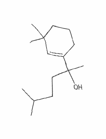 CC(C)CCC(C)(O)C1=CC(C)(C)CCC1